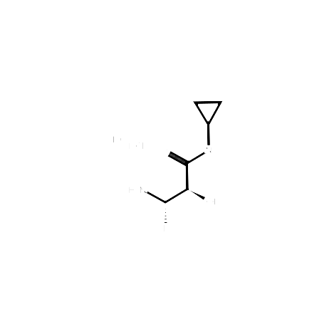 CC[C@H](N)[C@H](O)C(=O)NC1CC1.Cl.Cl